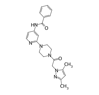 Cc1cc(C)n(CC(=O)N2CCN(c3cc(NC(=O)c4ccccc4)ccn3)CC2)n1